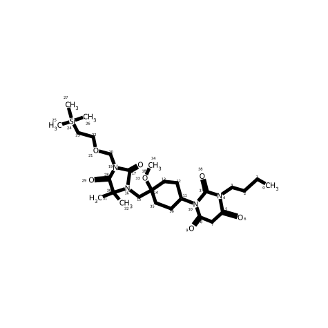 CCCCN1C(=O)CC(=O)N(C2CCC(CN3C(=O)N(COCC[Si](C)(C)C)C(=O)C3(C)C)(OC)CC2)C1=O